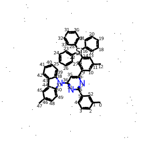 Cc1cccc(-c2nc(-c3cc(C)cc([Si](c4ccccc4)(c4ccccc4)c4ccccc4)c3)cc(-n3c4ccccc4c4cc(C)ccc43)n2)c1